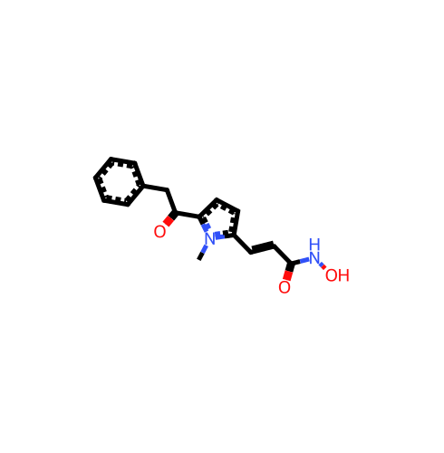 Cn1c(/C=C/C(=O)NO)ccc1C(=O)Cc1ccccc1